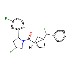 O=C([C@H]1CC2(C(F)c3ccccc3)CC1C2)N1CC(F)CC1c1cccc(F)c1